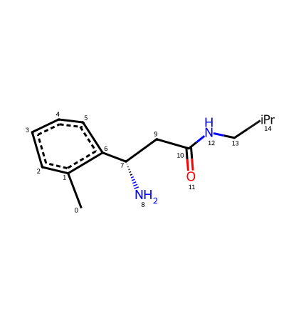 Cc1ccccc1[C@@H](N)CC(=O)NCC(C)C